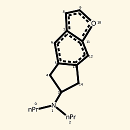 CCCN(CCC)C1Cc2cc3ccoc3cc2C1